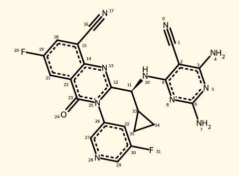 N#Cc1c(N)nc(N)nc1N[C@H](c1nc2c(C#N)cc(F)cc2c(=O)n1-c1cncc(F)c1)C1CC1